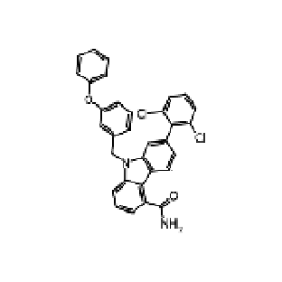 NC(=O)c1cccc2c1c1[c]cc(-c3c(Cl)cccc3Cl)cc1n2Cc1cccc(Oc2ccccc2)c1